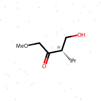 COCC(=O)[C@H](CO)C(C)C